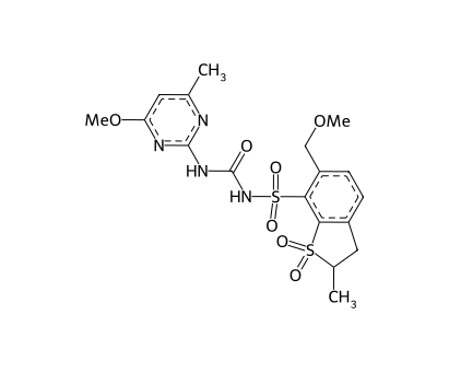 COCc1ccc2c(c1S(=O)(=O)NC(=O)Nc1nc(C)cc(OC)n1)S(=O)(=O)C(C)C2